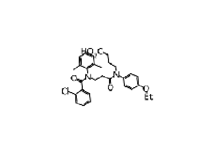 CCOc1ccc(N(CCCC(=O)O)C(=O)CCN(C(=O)c2ccccc2Cl)c2c(C)cccc2C)cc1